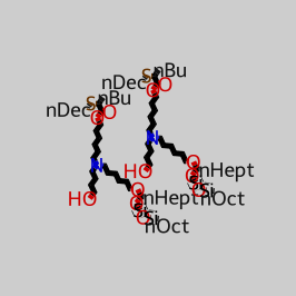 CCCCCCCCCCSC(CCCC)C(=O)OCCCCCCN(CCCCO)CCCCCCOC(CCCCCCC)O[Si](C)(C)O[Si](C)(C)CCCCCCCC.CCCCCCCCCCSC(CCCC)C(=O)OCCCCCCN(CCCCO)CCCCCCOC(CCCCCCC)O[Si](C)(C)O[Si](C)(C)CCCCCCCC